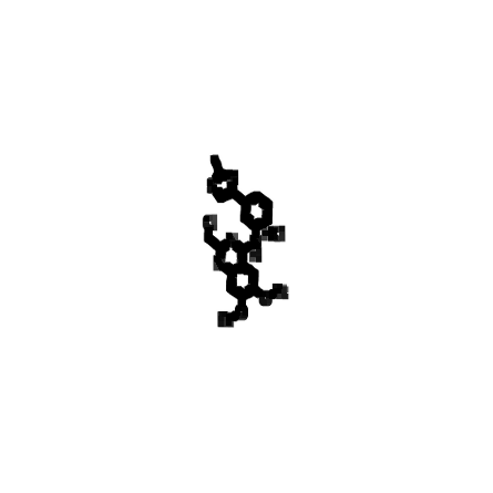 CCOc1cc2nc(CCl)nc(Nc3cccc(-c4csc(C)n4)c3)c2cc1OCC.Cl